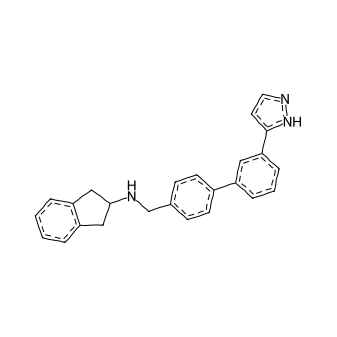 c1cc(-c2ccc(CNC3Cc4ccccc4C3)cc2)cc(-c2ccn[nH]2)c1